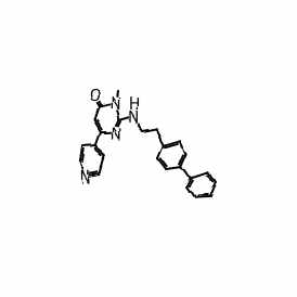 Cn1c(NCCc2ccc(-c3ccccc3)cc2)nc(-c2ccncc2)cc1=O